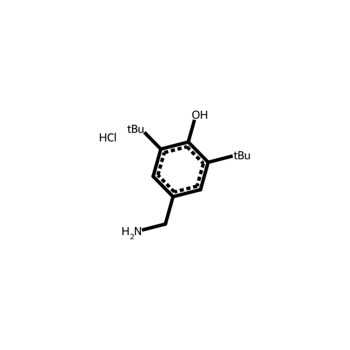 CC(C)(C)c1cc(CN)cc(C(C)(C)C)c1O.Cl